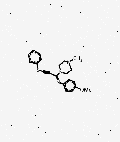 COc1ccc(/N=C(/C#CSc2ccccc2)N2CCN(C)CC2)cc1